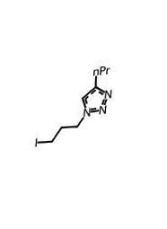 CCCc1cn(CCCI)nn1